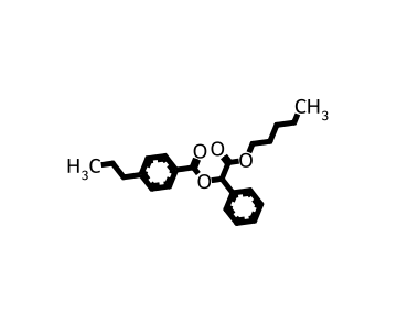 CCCCCOC(=O)C(OC(=O)c1ccc(CCC)cc1)c1ccccc1